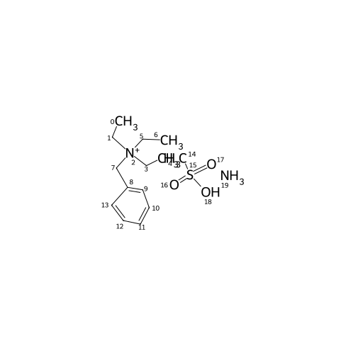 CC[N+](CC)(CC)Cc1ccccc1.CS(=O)(=O)O.N